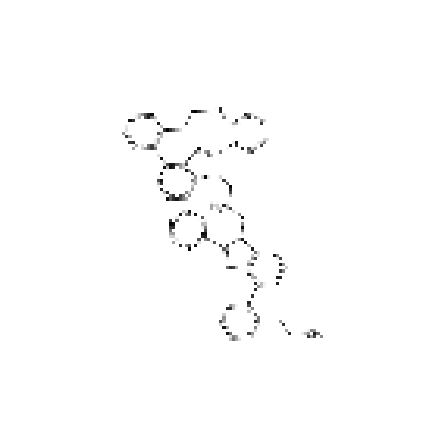 CCCc1ccccc1-c1cccc2c1C=C(c1ccccc1)C2C[SiH2]CC1C(c2ccccc2)=Cc2c(-c3ccccc3CCC)cccc21